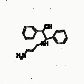 NC=CCNC(c1ccccc1)C(O)c1ccccc1